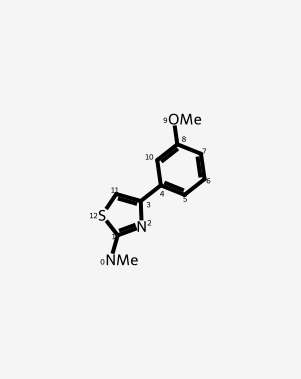 CNc1nc(-c2cccc(OC)c2)cs1